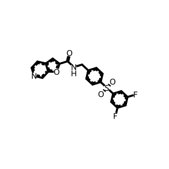 O=C(NCc1ccc(S(=O)(=O)c2cc(F)cc(F)c2)cc1)c1cc2ccncc2o1